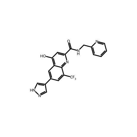 O=C(NCc1ccccn1)c1cc(O)c2cc(-c3cn[nH]c3)cc(C(F)(F)F)c2n1